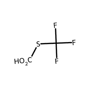 O=C(O)SC(F)(F)F